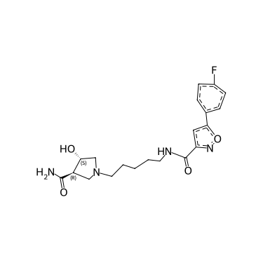 NC(=O)[C@@H]1CN(CCCCCNC(=O)c2cc(-c3ccc(F)cc3)on2)C[C@H]1O